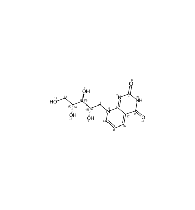 O=c1nc2n(C[C@H](O)[C@H](O)[C@H](O)CO)cccc-2c(=O)[nH]1